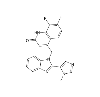 Cn1cncc1-c1nc2ccccc2n1Cc1cc(=O)[nH]c2c(F)c(F)ccc12